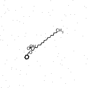 CCCCCCCCCCCCCCCCC(OCc1ccccc1)C(=O)O